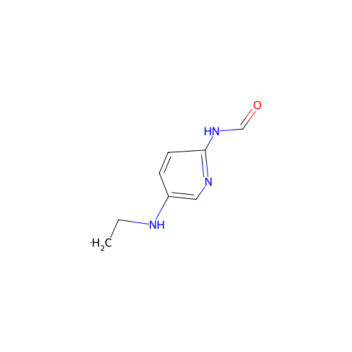 [CH2]CNc1ccc(NC=O)nc1